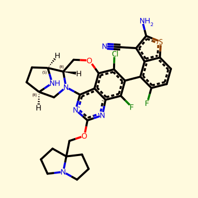 N#Cc1c(N)sc2ccc(F)c(-c3c(Cl)c4c5c(nc(OCC67CCCN6CCC7)nc5c3F)N3C[C@H]5CC[C@H](N5)[C@@H]3CO4)c12